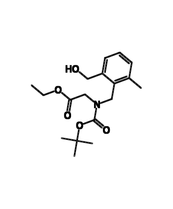 CCOC(=O)CN(Cc1c(C)cccc1CO)C(=O)OC(C)(C)C